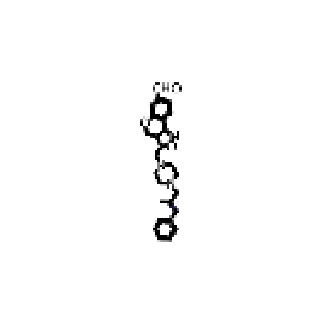 C/C(=C\c1ccccc1)CN1CCN(CC2ON=C3c4ccc(C=O)cc4OCC32)CC1